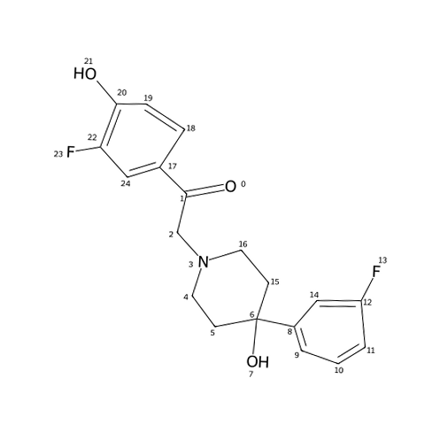 O=C(CN1CCC(O)(c2cccc(F)c2)CC1)c1ccc(O)c(F)c1